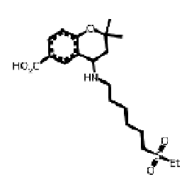 CCS(=O)(=O)CCCCCCNC1CC(C)(C)Oc2ccc(C(=O)O)cc21